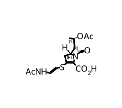 CC(=O)NC=CSC1=C(C(=O)O)N2C(=O)[C@@H]([C@H](C)OC(C)=O)[C@H]2C1